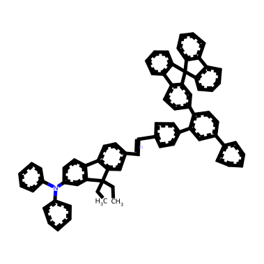 CCC1(CC)c2cc(/C=C/c3ccc(-c4cc(-c5ccccc5)ccc4-c4ccc5c(c4)C4(c6ccccc6-c6ccccc64)c4ccccc4-5)cc3)ccc2-c2ccc(N(c3ccccc3)c3ccccc3)cc21